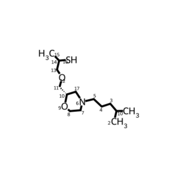 CC(C)CCCN1CCO[C@H](COCC(C)S)C1